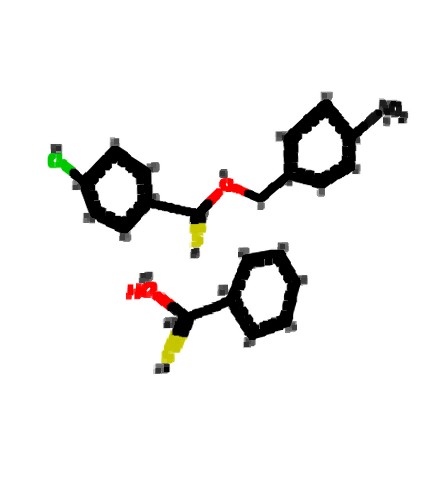 O=[N+]([O-])c1ccc(COC(=S)c2ccc(Cl)cc2)cc1.OC(=S)c1ccccc1